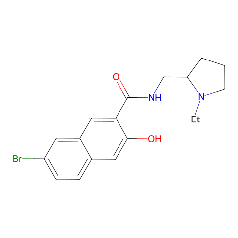 CCN1CCCC1CNC(=O)c1[c]c2cc(Br)ccc2cc1O